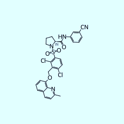 Cc1ccc2cccc(OCc3c(Cl)ccc(S(=O)(=O)N4CCC[C@H]4C(=O)Nc4cccc(C#N)c4)c3Cl)c2n1